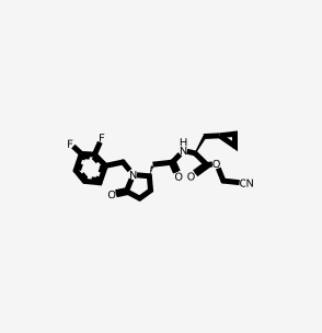 N#CCOC(=O)[C@H](CC1CC1)NC(=O)C[C@@H]1CCC(=O)N1Cc1cccc(F)c1F